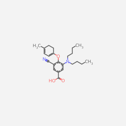 CCCCN(CCCC)c1cc(C(=O)O)cc(C#N)c1OC1=CC=C(C)CC1